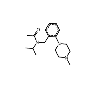 CC(=O)N(Cc1ccccc1N1CCN(C)CC1)C(C)C